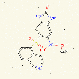 O=S(=O)(O)O.O=c1[nH]c2cc([N+](=O)O)c(S(=O)(=O)c3cccc4cnccc34)cc2[nH]1